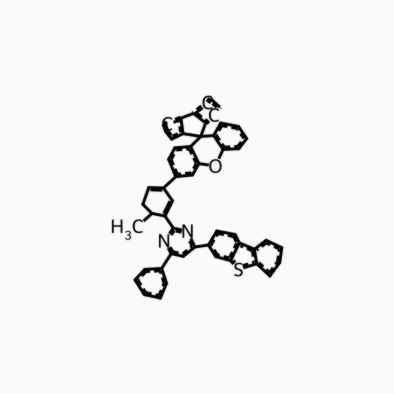 CC1CC=C(c2ccc3c(c2)Oc2ccccc2C32c3ccccc3-c3ccccc32)C=C1c1nc(-c2ccccc2)cc(-c2ccc3c(c2)sc2ccccc23)n1